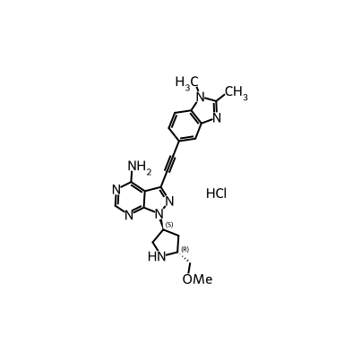 COC[C@H]1C[C@H](n2nc(C#Cc3ccc4c(c3)nc(C)n4C)c3c(N)ncnc32)CN1.Cl